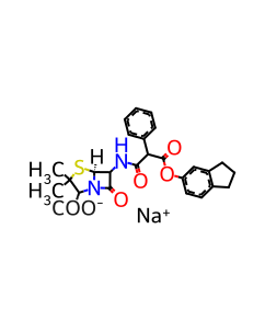 CC1(C)S[C@H]2C(NC(=O)C(C(=O)Oc3ccc4c(c3)CCC4)c3ccccc3)C(=O)N2C1C(=O)[O-].[Na+]